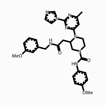 COc1ccc(NC(=O)N2CCN(c3cc(C)nc(-n4ccnc4)n3)C(CC(=O)NCc3cccc(OC)c3)C2)cc1